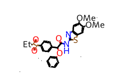 CCS(=O)(=O)c1ccc(C(Oc2ccccc2)C(=O)Nc2nc3cc(OC)c(OC)cc3s2)cc1